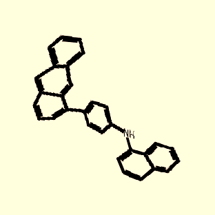 c1ccc2cc3c(-c4ccc(Nc5cccc6ccccc56)cc4)cccc3cc2c1